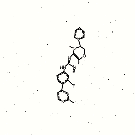 C=N/C(=N\C1=C(C)OCC(c2ccccc2)N1C)Nc1ccc(-c2ccnc(C)c2)c(F)c1